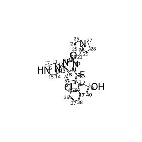 Oc1cc(-c2c(Cl)cc3c(N4C5CCC4CNC5)nc(OCC45CCCN4CCC5)nc3c2F)c2ccccc2c1